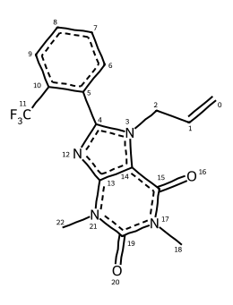 C=CCn1c(-c2ccccc2C(F)(F)F)nc2c1c(=O)n(C)c(=O)n2C